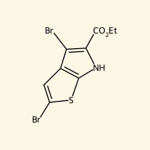 CCOC(=O)c1[nH]c2sc(Br)cc2c1Br